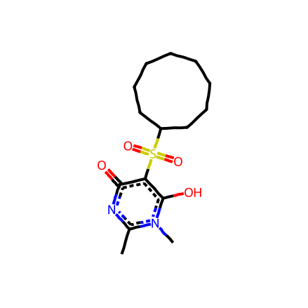 Cc1nc(=O)c(S(=O)(=O)C2CCCCCCCC2)c(O)n1C